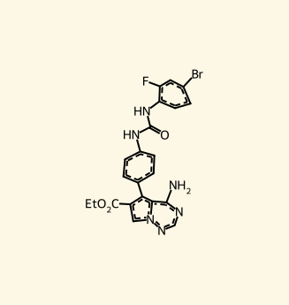 CCOC(=O)c1cn2ncnc(N)c2c1-c1ccc(NC(=O)Nc2ccc(Br)cc2F)cc1